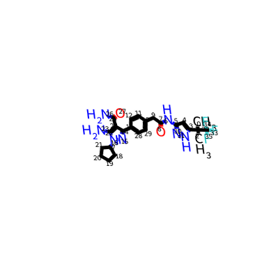 CC(C)(c1cc(NC(=O)Cc2ccc(-c3nn(C4CCCC4)c(N)c3C(N)=O)cc2)n[nH]1)C(F)(F)F